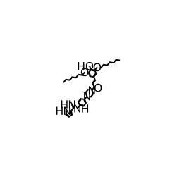 CCCCCCCOc1cc(/C=C/C(=O)N2CCN(c3ccc(NC(=N)c4ccc[nH]4)cc3)CC2)cc(OCCCCCCC)c1O